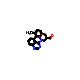 Cc1ccccc1-c1cccc2ncnc(N3CCCC(C=O)C3)c12